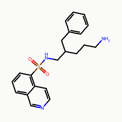 NCCCC(CNS(=O)(=O)c1cccc2cnccc12)Cc1ccccc1